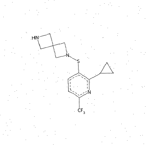 FC(F)(F)c1ccc(SN2CC3(CNC3)C2)c(C2CC2)n1